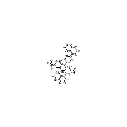 C[Si](C)(C)c1ccc2c(-c3cccc4ccccc34)c3cc([Si](C)(C)C)ccc3c(-c3ccc(-c4cccc5ccccc45)cc3)c2c1